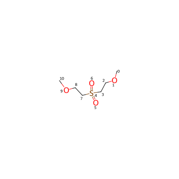 COCCS(=O)(=O)CCOC